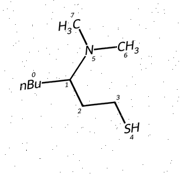 CCCCC(CCS)N(C)C